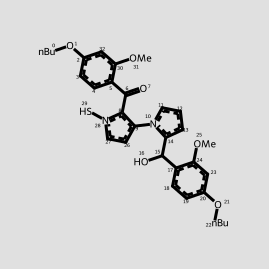 CCCCOc1ccc(C(=O)c2c(-n3cccc3C(O)c3ccc(OCCCC)cc3OC)ccn2S)c(OC)c1